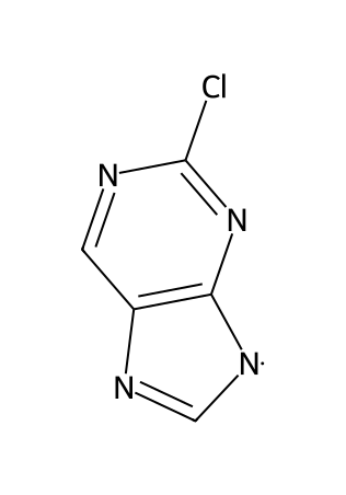 Clc1ncc2c(n1)[N]C=N2